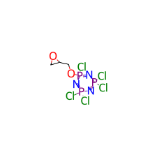 ClP1(Cl)=NP(Cl)(Cl)=NP(Cl)(OCC2CO2)=N1